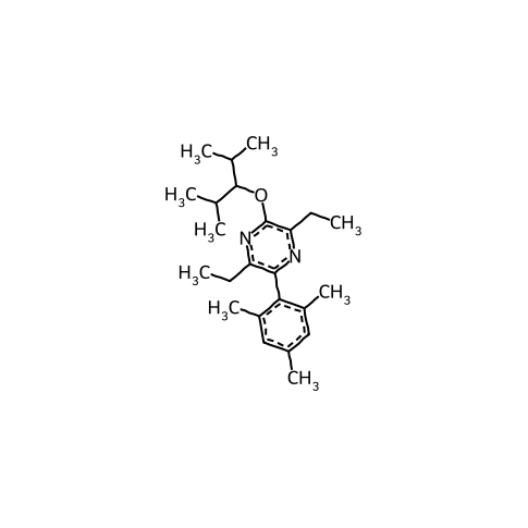 CCc1nc(-c2c(C)cc(C)cc2C)c(CC)nc1OC(C(C)C)C(C)C